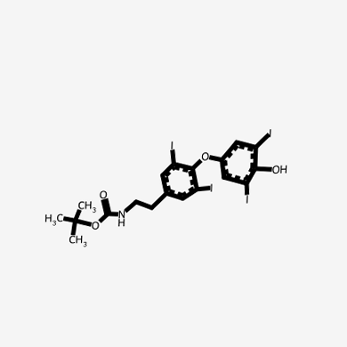 CC(C)(C)OC(=O)NCCc1cc(I)c(Oc2cc(I)c(O)c(I)c2)c(I)c1